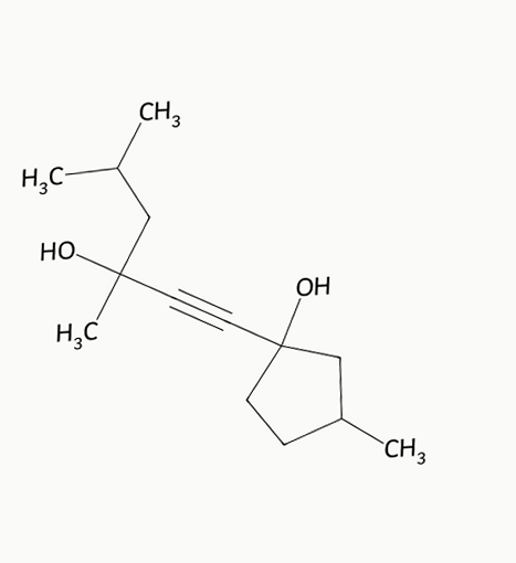 CC(C)CC(C)(O)C#CC1(O)CCC(C)C1